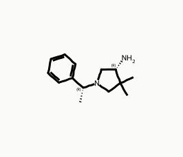 C[C@H](c1ccccc1)N1C[C@H](N)C(C)(C)C1